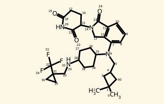 CC1(C)CC(CN(c2cccc3c2CN(C2CCC(=O)NC2=O)C3=O)C2CCC(NCC3(C(F)(F)F)CC3)CC2)C1